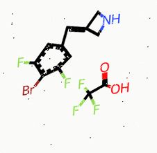 Fc1cc(C=C2CNC2)cc(F)c1Br.O=C(O)C(F)(F)F